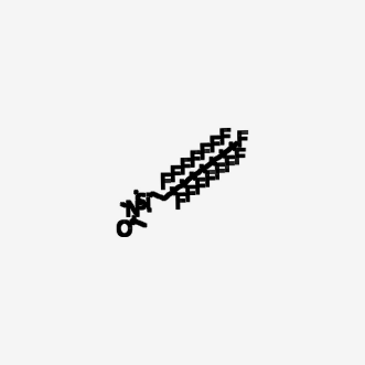 CC(=O)N(C)[Si](C)(C)CCC(F)(F)C(F)(F)C(F)(F)C(F)(F)C(F)(F)C(F)(F)C(F)(F)F